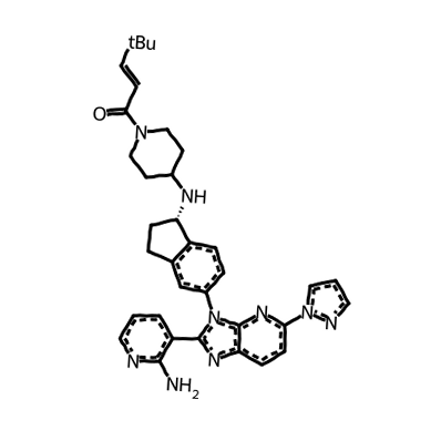 CC(C)(C)/C=C/C(=O)N1CCC(N[C@H]2CCc3cc(-n4c(-c5cccnc5N)nc5ccc(-n6cccn6)nc54)ccc32)CC1